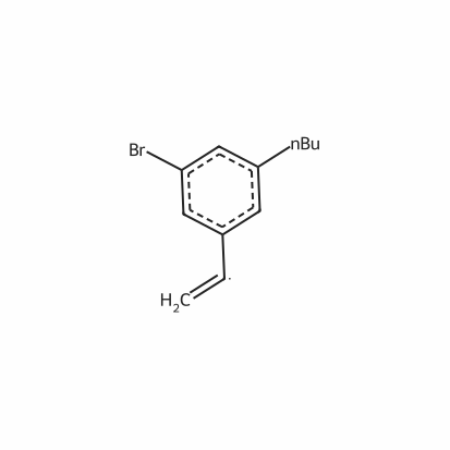 C=[C]c1cc(Br)cc(CCCC)c1